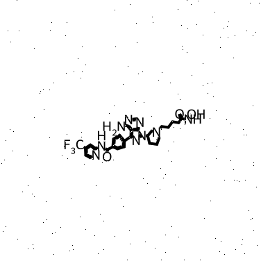 Nc1ncnc2c1c(-c1ccc(C(=O)Nc3cc(C(F)(F)F)ccn3)cc1)nn2C1CCCN(CCCCC(=O)NO)C1